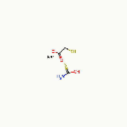 NC(O)=S.O=C([O-])CS.[Na+]